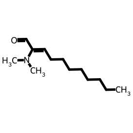 CCCCCCCCC=C(C=O)N(C)C